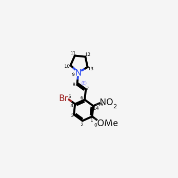 COc1ccc(Br)c(/C=C/N2CCCC2)c1[N+](=O)[O-]